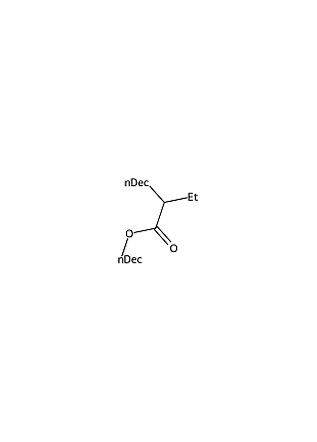 CCCCCCCCCCOC(=O)C(CC)CCCCCCCCCC